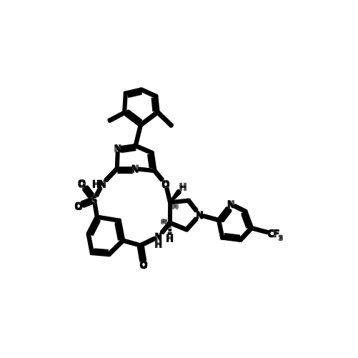 Cc1cccc(C)c1-c1cc2nc(n1)NS(=O)(=O)c1cccc(c1)C(=O)N[C@@H]1CN(c3ccc(C(F)(F)F)cn3)C[C@H]1O2